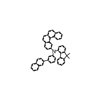 CC1(C)c2ccccc2-c2c(N(c3cccc(-c4ccc5ccccc5c4)c3)c3ccc4ccc5ccc6ccccc6c5c4c3)cccc21